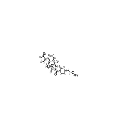 CC(C)OCCN1CCN(C(=O)[C@@H](NS(=O)(=O)c2cccc(N3CCCC3=O)c2Cl)C(N)=O)CC1